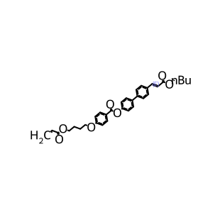 C=CC(=O)OCCCCOc1ccc(C(=O)Oc2ccc(-c3ccc(/C=C/C(=O)OCCCC)cc3)cc2)cc1